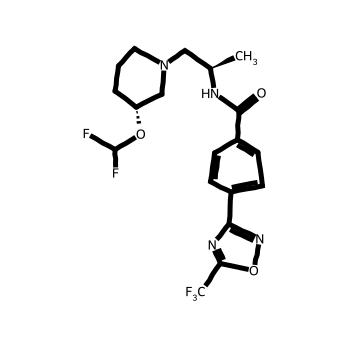 C[C@H](CN1CCC[C@@H](OC(F)F)C1)NC(=O)c1ccc(-c2noc(C(F)(F)F)n2)cc1